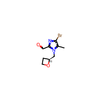 Cc1c(Br)nc(C=O)n1C[C@@H]1CCO1